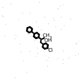 CC(O)C(Cc1ccc(Cl)cc1)c1ccc(-c2ccccc2)cc1